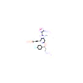 CCn1c(-c2nonc2N)nc2c(C#CC(C)(C)O)nc(OC(CCN)c3ccc(F)cc3)cc21